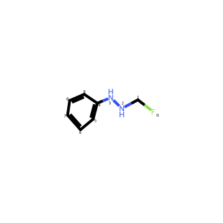 FCNNc1ccccc1